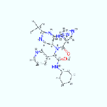 CC(C)(C)c1ncc(N(C(=O)c2cnc[nH]2)C(C(=O)NC2CCCCC2)c2cccnc2)c(C#N)n1